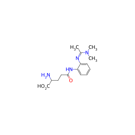 CC(=Nc1ccccc1NC(=O)CCC(N)C(=O)O)N(C)C